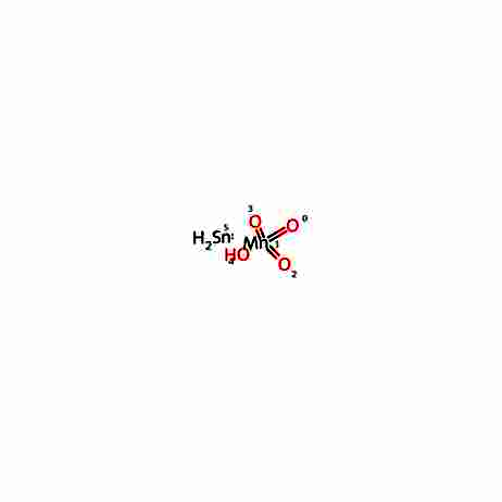 [O]=[Mn](=[O])(=[O])[OH].[SnH2]